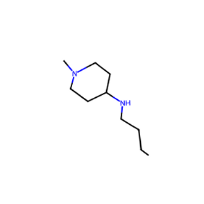 CCCCNC1CCN(C)CC1